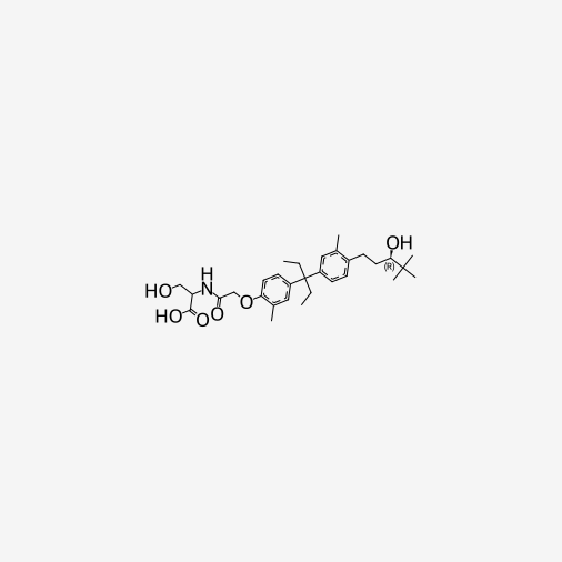 CCC(CC)(c1ccc(CC[C@@H](O)C(C)(C)C)c(C)c1)c1ccc(OCC(=O)NC(CO)C(=O)O)c(C)c1